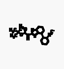 [C-]#[N+]c1ccccc1-c1cccc2nc(NC(=O)OC(C)(C)C)sc12